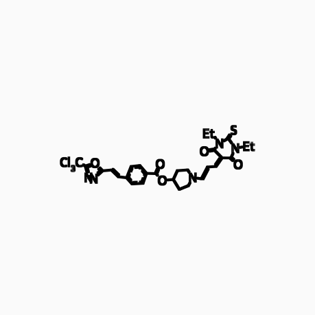 CCN1C(=O)C(=CC=CN2CCC(OC(=O)c3ccc(C=Cc4nnc(C(Cl)(Cl)Cl)o4)cc3)CC2)C(=O)N(CC)C1=S